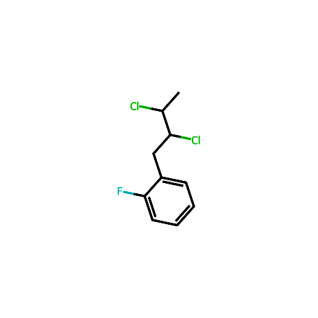 CC(Cl)C(Cl)Cc1ccccc1F